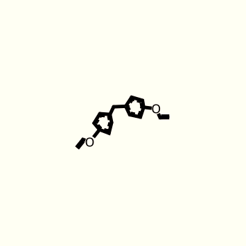 C=COc1ccc(Cc2ccc(OC=C)cc2)cc1